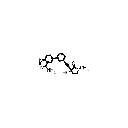 CN1CC[C@@](O)(C#Cc2cccc(-c3ccc4ncnc(N)c4c3)c2)C1=O